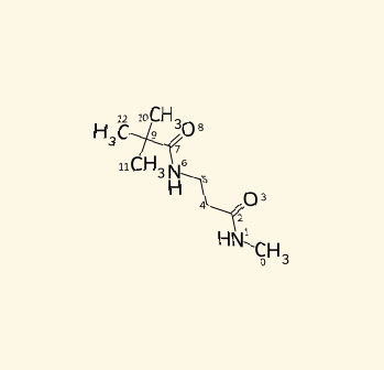 CNC(=O)CCNC(=O)C(C)(C)C